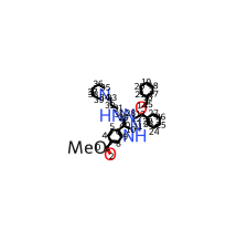 COC(=O)c1ccc2c(c1)[nH]c1nc(C(OCc3ccccc3)c3ccccc3)nc(NCCCN3CCCCC3)c12